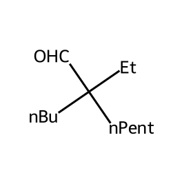 CCCCCC(C=O)(CC)CCCC